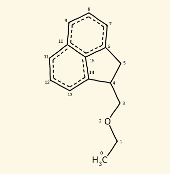 CCOCC1Cc2cccc3cccc1c23